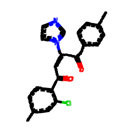 Cc1ccc(C(=O)/C(=C\C(=O)c2ccc(C)cc2Cl)n2ccnc2)cc1